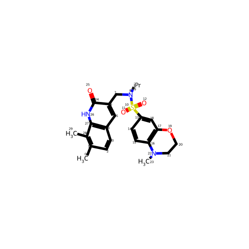 Cc1ccc2cc(CN(C(C)C)S(=O)(=O)c3ccc4c(c3)OCCN4C)c(=O)[nH]c2c1C